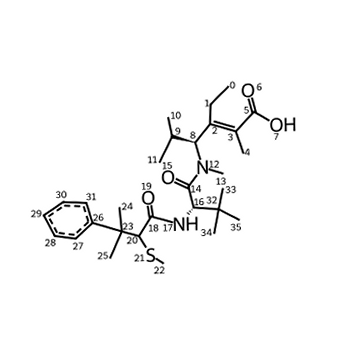 CCC(=C(C)C(=O)O)[C@H](C(C)C)N(C)C(=O)[C@@H](NC(=O)C(SC)C(C)(C)c1ccccc1)C(C)(C)C